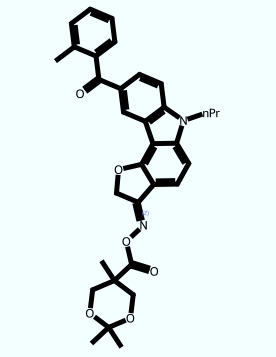 CCCn1c2ccc(C(=O)c3ccccc3C)cc2c2c3c(ccc21)/C(=N/OC(=O)C1(C)COC(C)(C)OC1)CO3